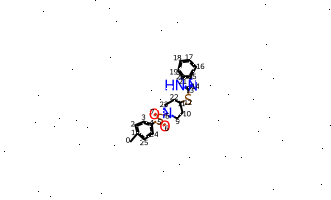 Cc1ccc(S(=O)(=O)N2CCC(Sc3nc4ccccc4[nH]3)CC2)cc1